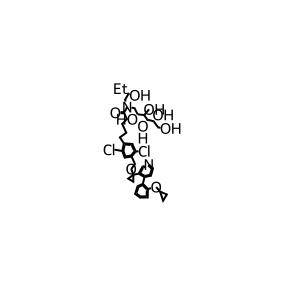 CCC(O)CN(CC(O)C(O)C(O)C(O)CO)C(=O)CCCCc1cc(Cl)c(COC2(c3cnccc3-c3ccccc3OC3CC3)CC2)cc1Cl